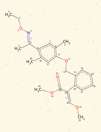 CCO/N=C(\C)c1cc(C)c(OCc2ccccc2/C(=C\OC)C(=O)OC)cc1C